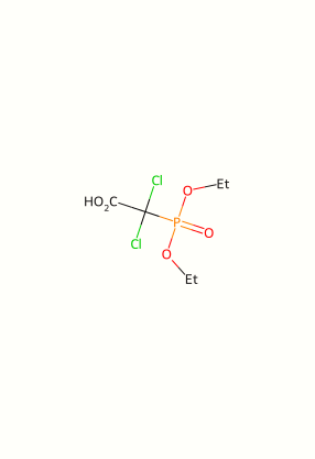 CCOP(=O)(OCC)C(Cl)(Cl)C(=O)O